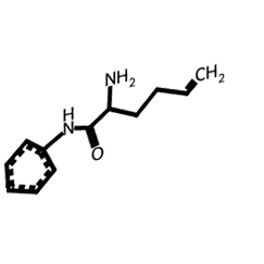 C=CCCC(N)C(=O)Nc1ccccc1